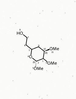 COC1[C@H](OC)OC(CCO)C[C@H]1OC